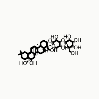 C[C@H]1O[C@@H](O[C@H]2CC[C@@]3(C)[C@@H](CC[C@]4(C)[C@@H]3C=CC3=C5CC(C)(C)CC[C@]5(CO)[C@H](O)C[C@]34C)[C@]2(C)CO)[C@H](O)[C@@H](O[C@@H]2O[C@H](CO)[C@@H](O)[C@H](O)[C@H]2O)[C@H]1O